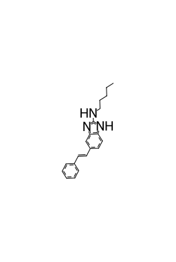 CCCCCNc1nc2cc(C=Cc3ccccc3)ccc2[nH]1